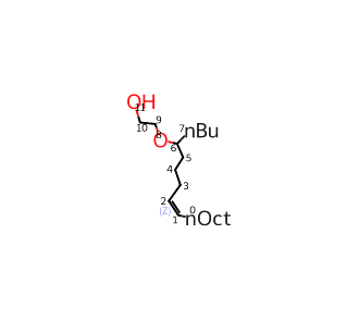 CCCCCCCC/C=C\CCCC(CCCC)OCCO